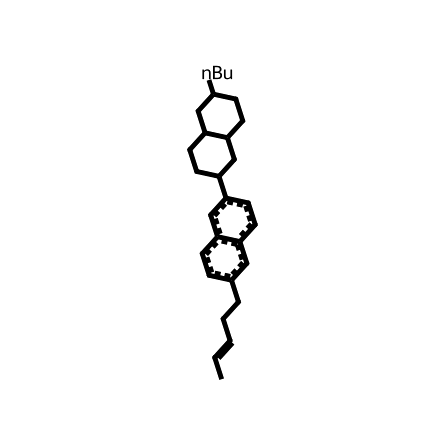 CC=CCCc1ccc2cc(C3CCC4CC(CCCC)CCC4C3)ccc2c1